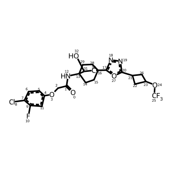 O=C(COc1ccc(Cl)c(F)c1)NC12CCC(c3nnc(C4CC(OC(F)(F)F)C4)o3)(CC1)CC2O